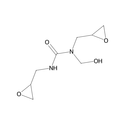 O=C(NCC1CO1)N(CO)CC1CO1